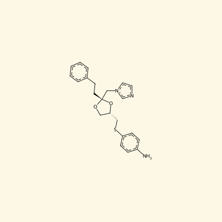 Nc1ccc(SC[C@@H]2CO[C@](CCc3ccccc3)(Cn3ccnc3)O2)cc1